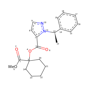 COC(=O)C1(OC(=O)c2ccnn2[C@H](C)c2ccccc2)CCCCC1